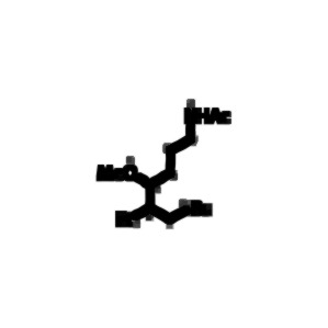 CCC(C)CC(CC)C(CCCNC(C)=O)OC